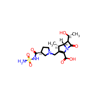 C[C@@H](O)C1C(=O)N2C(C(=O)O)=C(CN3CC[C@H](C(=O)NS(N)(=O)=O)C3)[C@H](C)[C@H]12